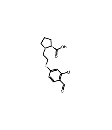 O=Cc1ccc(OCCN2CCC[C@H]2C(=O)O)cc1Cl